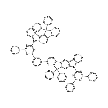 C1=CC2c3ccc4c(c3C(c3ccccc3)(c3ccccc3)C2C=C1)c1ccccc1n4-c1nc(-c2ccccc2)nc(-c2cccc(-c3ccc4c(c3)C(c3ccccc3)(c3ccccc3)c3cc5c(cc3-4)c3ccccc3n5-c3nc(-c4ccccc4)nc(-c4ccccc4)n3)c2)n1